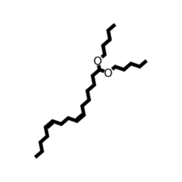 CCCC/C=C\CC/C=C\CCCCCC(OCCCCC)OCCCCC